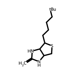 C=C1NC2CSC(CCCCC(C)(C)C)C2N1